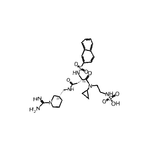 N=C(N)N1CCC[C@@H](CNC(=O)C[C@H](NS(=O)(=O)c2ccc3ccccc3c2)C(=O)N(CCNS(=O)(=O)O)C2CC2)C1